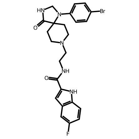 O=C(NCCN1CCC2(CC1)C(=O)NCN2c1ccc(Br)cc1)c1cc2cc(F)ccc2[nH]1